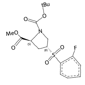 COC(=O)[C@@H]1C[C@@H](S(=O)(=O)c2ccccc2F)CN1C(=O)OC(C)(C)C